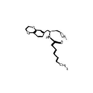 CCCCCCC(=O)N[C@H](CC)Cc1ccc2c(c1)OCCO2